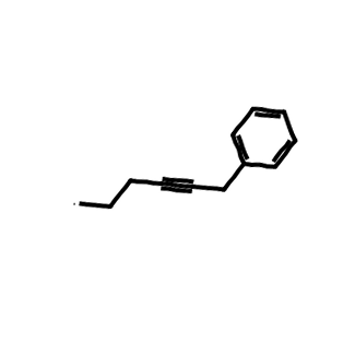 [CH2]CCC#CCc1ccccc1